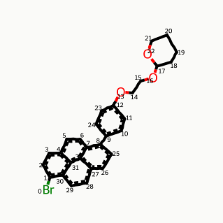 Brc1ccc2ccc3c(-c4ccc(OCCOC5CCCCO5)cc4)ccc4ccc1c2c43